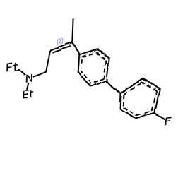 CCN(CC)C/C=C(/C)c1ccc(-c2ccc(F)cc2)cc1